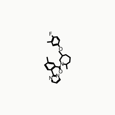 Cc1ccc(-c2ncccn2)c(C(=O)N2CC(COc3ccc(F)c(C)c3)CCCC2C)c1